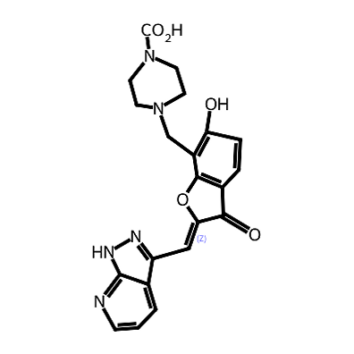 O=C1/C(=C/c2n[nH]c3ncccc23)Oc2c1ccc(O)c2CN1CCN(C(=O)O)CC1